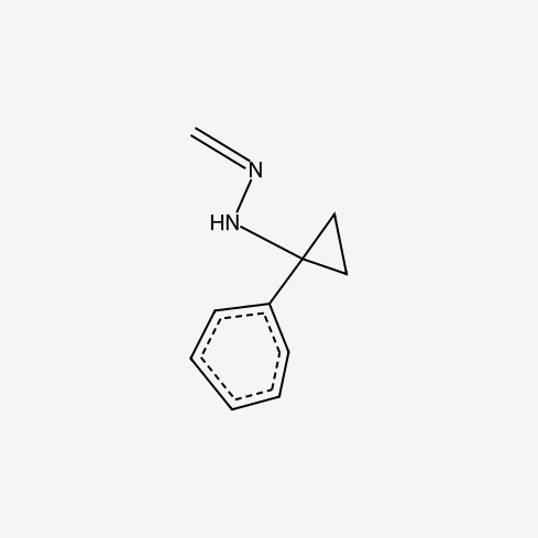 C=NNC1(c2ccccc2)CC1